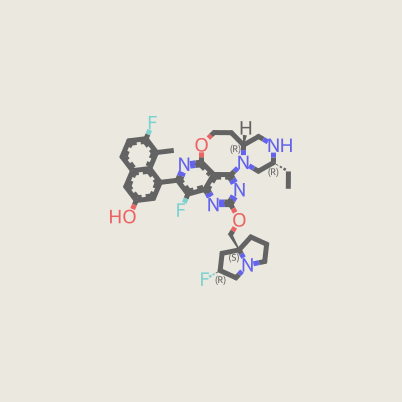 CC[C@@H]1CN2c3nc(OC[C@@]45CCCN4C[C@H](F)C5)nc4c(F)c(-c5cc(O)cc6ccc(F)c(C)c56)nc(c34)OCC[C@@H]2CN1